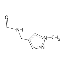 Cn1cc(CNC=O)cn1